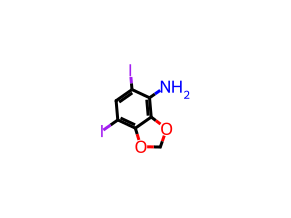 Nc1c(I)cc(I)c2c1OCO2